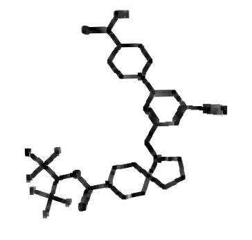 N#Cc1cc(CN2CCCC23CCN(C(=O)OC(C(F)(F)F)C(F)(F)F)CC3)cc(N2CCC(C(=O)O)CC2)c1